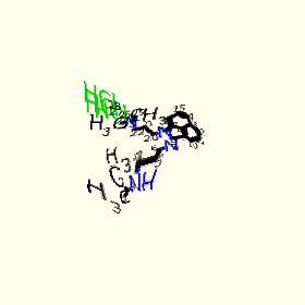 CC(C)NCCC/N=C1/c2cccc3cccc(c23)N1CCCN(C)C.Cl.Cl.Cl